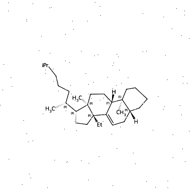 CC[C@@]12CC[C@H]([C@H](C)CCCC(C)C)[C@@]1(C)CC[C@H]1C2=CC[C@H]2CCCC[C@@]21C